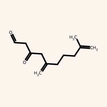 C=C(C)CCCC(=C)CC(=O)C[C]=O